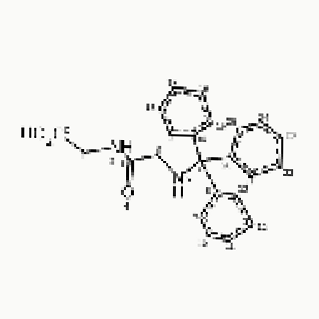 O=C(O)CNC(=O)CNC(c1ccccc1)(c1ccccc1)c1ccccc1